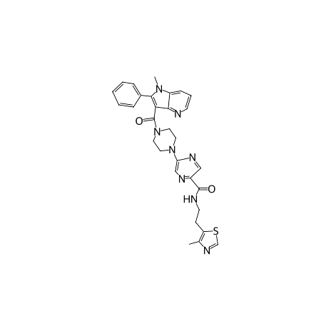 Cc1ncsc1CCNC(=O)c1cnc(N2CCN(C(=O)c3c(-c4ccccc4)n(C)c4cccnc34)CC2)cn1